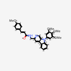 COc1ccc(/C=C/C(=O)NCc2cc3c4ccccc4n(-c4cc(OC)c(OC)c(OC)c4)c3cn2)cc1